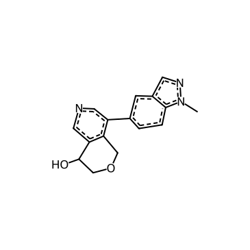 Cn1ncc2cc(-c3cncc4c3COCC4O)ccc21